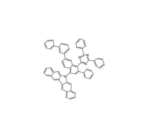 c1ccc(-c2cccc(-c3ccc4c(-n5c6cc7ccccc7cc6c6cc7ccccc7cc65)cc(-c5ccccc5)c(-c5nc(-c6ccccc6)nc(-c6ccccc6)n5)c4c3)c2)cc1